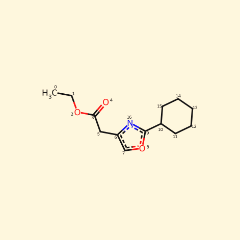 CCOC(=O)Cc1coc(C2CCCCC2)n1